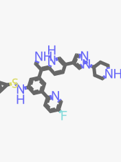 N=C/C(=C1/C=CC(c2cnn(C3CCNCC3)c2)=CN1)c1cc(NSC2CC2)cc(-c2ccc(F)cn2)c1